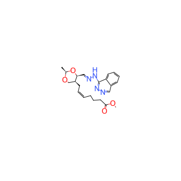 COC(=O)CCC/C=C\C[C@H]1CO[C@@H](C)O[C@H]1C=NNc1nncc2ccccc12